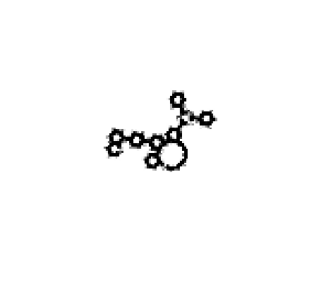 c1cccc2cc(-c3nc(-c4ccccc4)nc(-c4ccccc4)n3)ccc2c2ccc(-c3ccc(-c4cccc5cccnc45)cc3)cc2c2ccccc2scc1